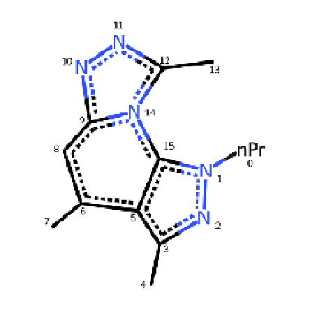 CCCn1nc(C)c2c(C)cc3nnc(C)n3c21